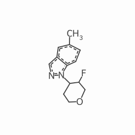 Cc1ccc2c(cnn2C2CCOCC2F)c1